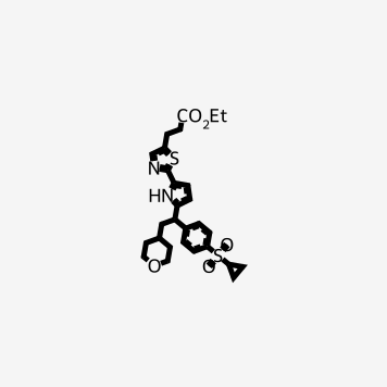 CCOC(=O)CCc1cnc(-c2ccc(C(CC3CCOCC3)c3ccc(S(=O)(=O)C4CC4)cc3)[nH]2)s1